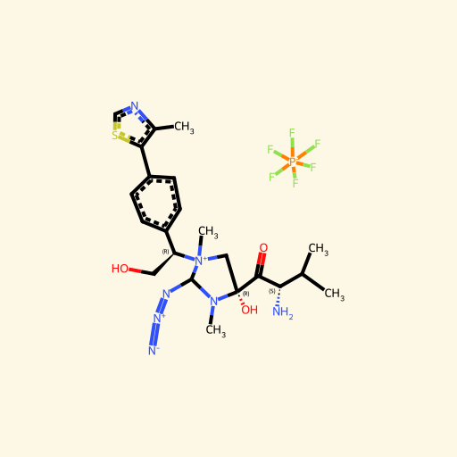 Cc1ncsc1-c1ccc([C@H](CO)[N+]2(C)C[C@@](O)(C(=O)[C@@H](N)C(C)C)N(C)C2N=[N+]=[N-])cc1.F[P-](F)(F)(F)(F)F